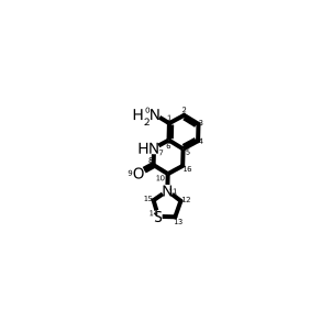 Nc1cccc2c1NC(=O)C(N1CCSC1)C2